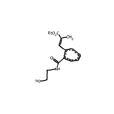 CCOC(=O)/C(C)=C/c1ccccc1C(=O)NCCO